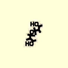 CC(O)C(C)C(C)(C)OC(C)(C)C(C)C(C)O